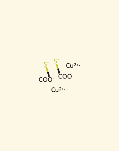 O=C([O-])[S-].O=C([O-])[S-].[Cu+2].[Cu+2]